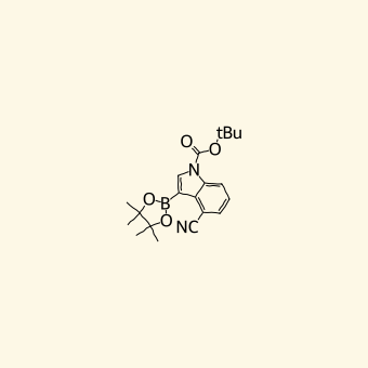 CC(C)(C)OC(=O)n1cc(B2OC(C)(C)C(C)(C)O2)c2c(C#N)cccc21